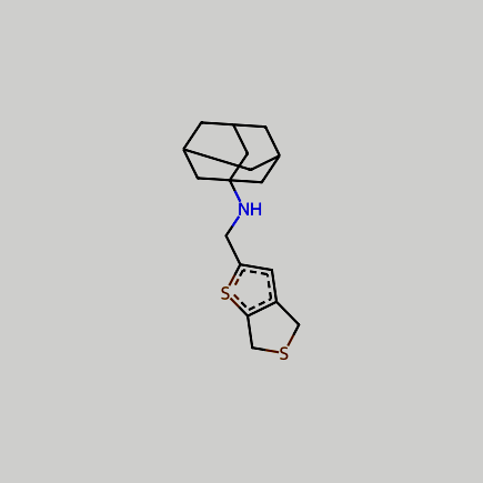 c1c(CNC23CC4CC(CC(C4)C2)C3)sc2c1CSC2